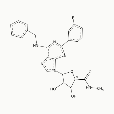 CNC(=O)[C@@H]1OC(n2cnc3c(NCc4ccccc4)nc(-c4cccc(F)c4)nc32)C(O)C1O